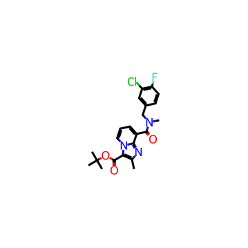 Cc1nc2c(C(=O)N(C)Cc3ccc(F)c(Cl)c3)cccn2c1C(=O)OC(C)(C)C